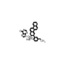 CCc1cccc(C2C=c3c(ccc4c5c(ccc34)CC=CC=5)CC2S(=O)(=O)O)c1.O=C1N=CN=C2N=CN=C12